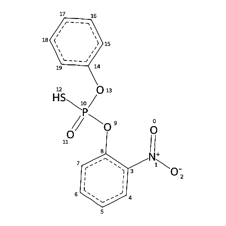 O=[N+]([O-])c1ccccc1OP(=O)(S)Oc1ccccc1